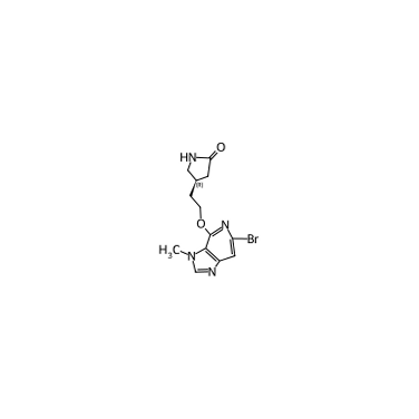 Cn1cnc2cc(Br)nc(OCC[C@H]3CNC(=O)C3)c21